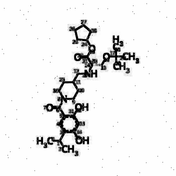 CC(C)c1cc(C(=O)N2CCC(CN[C@@H](COC(C)(C)C)C(=O)OC3CCCC3)CC2)c(O)cc1O